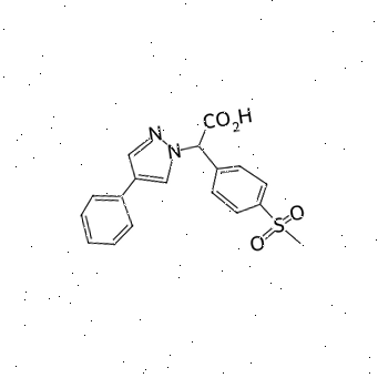 CS(=O)(=O)c1ccc(C(C(=O)O)n2cc(-c3ccccc3)cn2)cc1